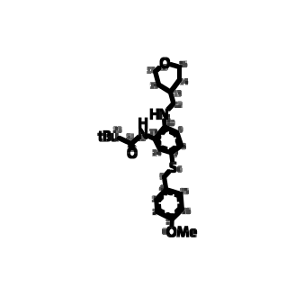 COc1ccc(CSc2ccc(NCC3CCOCC3)c(NC(=O)C(C)(C)C)c2)cc1